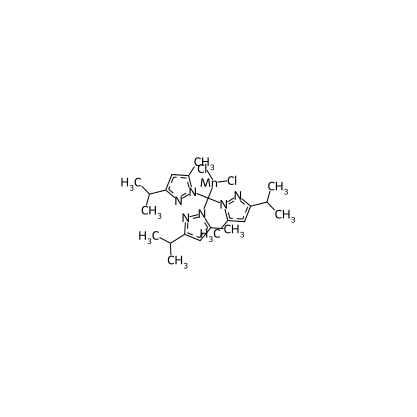 Cc1cc(C(C)C)nn1[C](n1nc(C(C)C)cc1C)(n1nc(C(C)C)cc1C)[Mn]([Cl])[Cl]